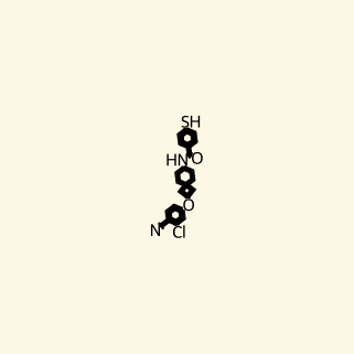 N#Cc1ccc(OC2CC3(CCC(NC(=O)c4ccc(S)cc4)CC3)C2)cc1Cl